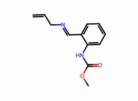 C=CCN=Cc1ccccc1NC(=O)OC